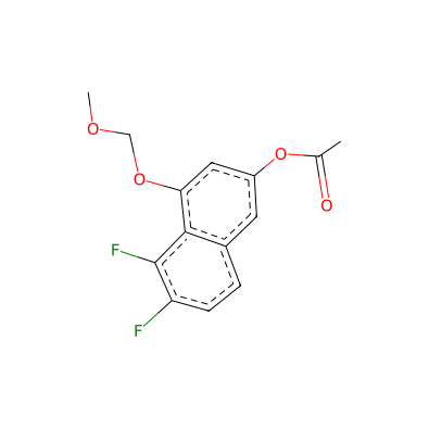 COCOc1cc(OC(C)=O)cc2ccc(F)c(F)c12